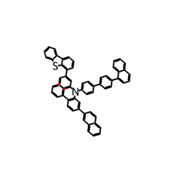 c1ccc(-c2ccc(-c3ccc4ccccc4c3)cc2N(c2ccc(-c3ccc(-c4cccc5ccccc45)cc3)cc2)c2cccc(-c3cccc4c3sc3ccccc34)c2)cc1